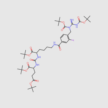 CC(C)(C)OC(=O)CCC(NC(=O)NC(CCCCNC(=O)c1ccc(CN(C(=N)NC(=O)OC(C)(C)C)C(=O)OC(C)(C)C)c(I)c1)C(=O)OC(C)(C)C)C(=O)OC(C)(C)C